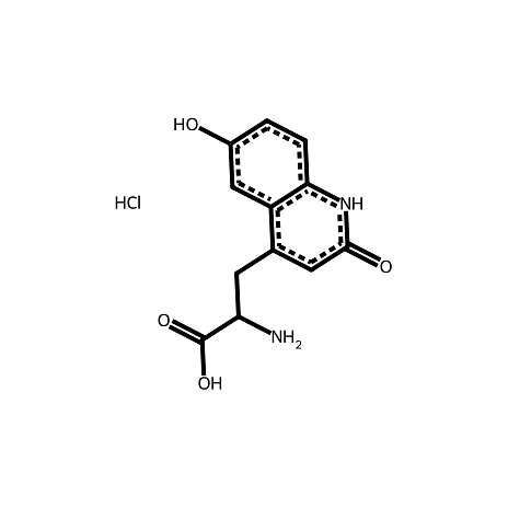 Cl.NC(Cc1cc(=O)[nH]c2ccc(O)cc12)C(=O)O